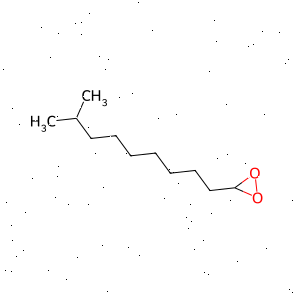 CC(C)CCCCCCCC1OO1